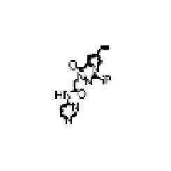 C=Cc1cc2c(=O)n(CC(=O)Nc3ccncn3)nc(C(C)C)n2c1